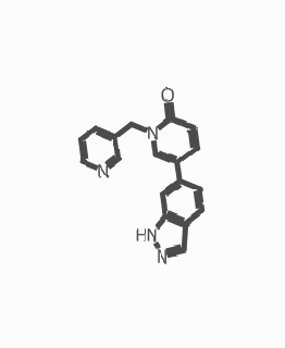 O=c1ccc(-c2ccc3cn[nH]c3c2)cn1Cc1cccnc1